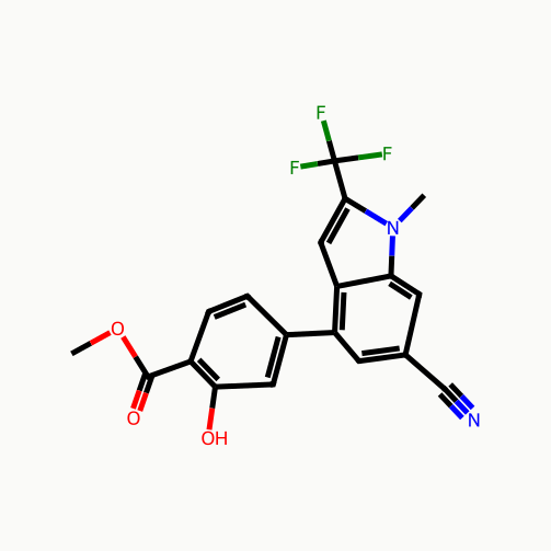 COC(=O)c1ccc(-c2cc(C#N)cc3c2cc(C(F)(F)F)n3C)cc1O